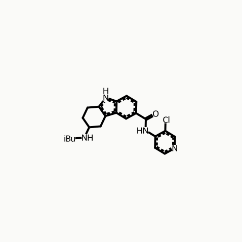 CCC(C)NC1CCc2[nH]c3ccc(C(=O)Nc4ccncc4Cl)cc3c2C1